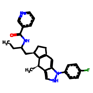 CCC(C[C@H]1CCC2=C1[C@@H](C)C1=CNN(c3ccc(F)cc3)C1=C2)NC(=O)c1cccnc1